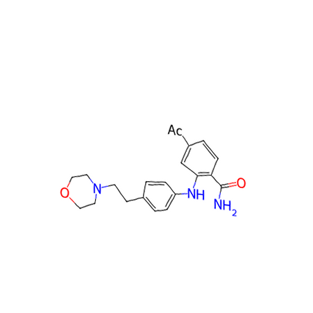 CC(=O)c1ccc(C(N)=O)c(Nc2ccc(CCN3CCOCC3)cc2)c1